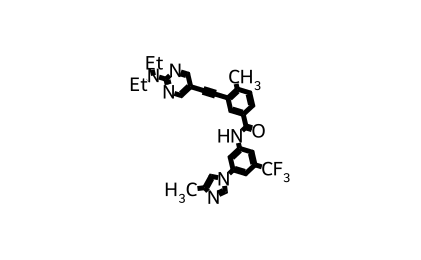 CCN(CC)c1ncc(C#Cc2cc(C(=O)Nc3cc(-n4cnc(C)c4)cc(C(F)(F)F)c3)ccc2C)cn1